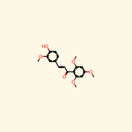 COc1cc(OC)c(C(=O)/C=C/c2ccc(O)c(OC)c2)c(OC)c1